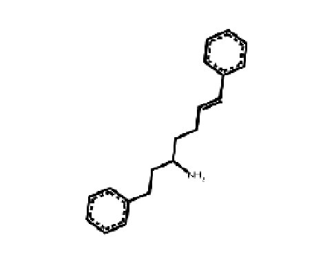 NC(CC/C=C/c1ccccc1)CCc1ccccc1